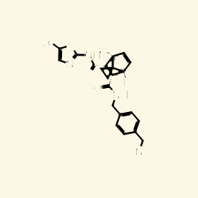 NCc1ccc(CNC(=O)[C@H]2[C@H](C(=O)Nc3ncc(Br)s3)[C@@H]3C=C[C@H]2C32CC2)cc1